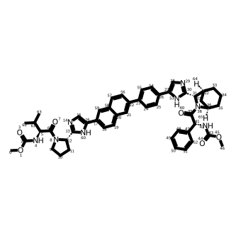 COC(=O)N[C@H](C(=O)N1CCC[C@H]1c1ncc(-c2ccc3cc(-c4ccc(-c5cnc([C@@H]6[C@H]7CCC[C@H](C7)N6C(=O)[C@H](NC(=O)OC)c6ccccc6)[nH]5)cc4)ccc3c2)[nH]1)C(C)C